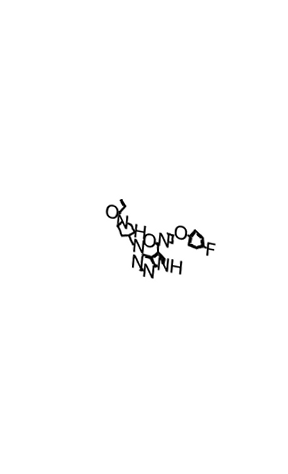 C=CC(=O)N1CCC(CNc2ncnc3[nH]cc(C(=O)N4CC(Oc5ccc(F)cc5)C4)c23)CC1